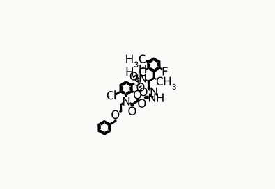 Cc1ccc(F)c([C@@H](C)[C@H](NS(=O)(=O)c2ccc(Cl)c3c2OCC(=O)N3CCOCc2ccccc2)c2n[nH]c(=O)o2)c1C